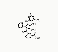 COC(=O)N1CCC[C@@H](C(=O)N2[C@H](c3ccccc3)[C@H](Nc3cc(C(F)(F)F)cc(C)n3)[C@@H](C(C)(C)C)[C@@H]2C(=O)O)C1